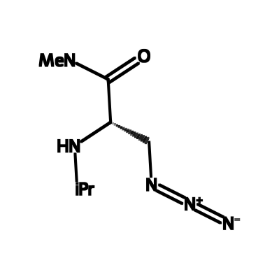 CNC(=O)[C@H](CN=[N+]=[N-])NC(C)C